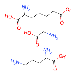 NC(CCCCC(=O)O)C(=O)O.NCC(=O)O.NCCCC(N)C(=O)O